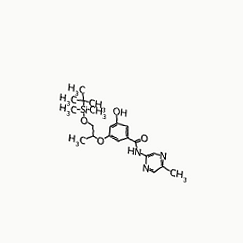 Cc1cnc(NC(=O)c2cc(O)cc(OC(C)CO[Si](C)(C)C(C)(C)C)c2)cn1